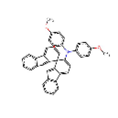 COc1ccc(N(C2=CC=C3C(=Cc4ccccc43)C23C=CC=C2C3=Cc3ccccc32)c2ccc(OC)cc2)cc1